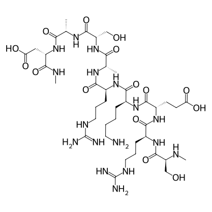 CNC(=O)[C@H](CC(=O)O)NC(=O)[C@H](C)NC(=O)[C@H](CO)NC(=O)[C@H](C)NC(=O)[C@H](CCCNC(=N)N)NC(=O)[C@H](CCCCN)NC(=O)[C@H](CCC(=O)O)NC(=O)[C@H](CCCNC(=N)N)NC(=O)[C@H](CO)NC